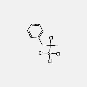 CC(Cl)(Cc1ccccc1)[Si](Cl)(Cl)Cl